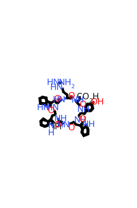 CC(C)C1NC(=O)C(Cc2c[nH]c3ccccc23)NC(=O)C(Cc2ccc(O)cc2)NC(=O)C(CC(=O)O)NC(=O)C(CCCNC(=N)N)NC(=O)C(Cc2c[nH]c3ccccc23)NC(=O)C(Cc2c[nH]c3ccccc23)NC1=O